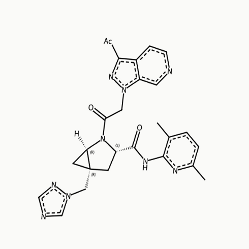 CC(=O)c1nn(CC(=O)N2[C@H](C(=O)Nc3nc(C)ccc3C)C[C@@]3(Cn4cncn4)C[C@@H]23)c2cnccc12